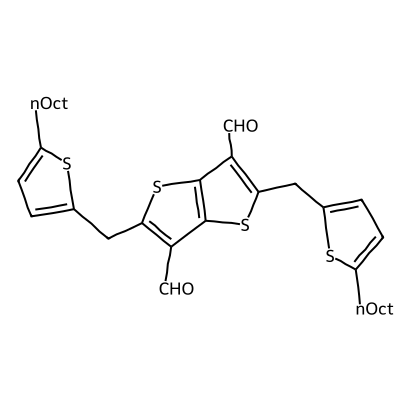 CCCCCCCCc1ccc(Cc2sc3c(C=O)c(Cc4ccc(CCCCCCCC)s4)sc3c2C=O)s1